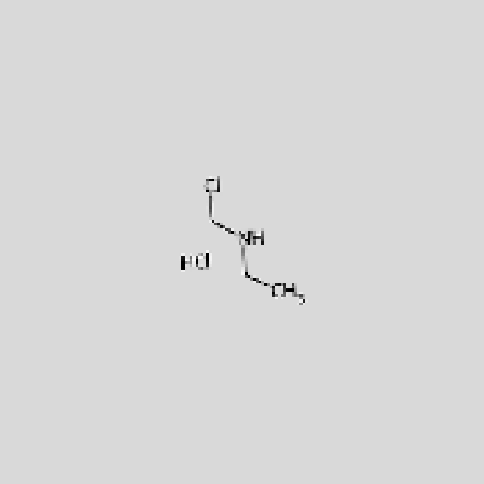 CCNCCl.Cl